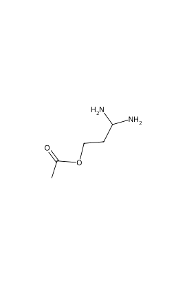 CC(=O)OCCC(N)N